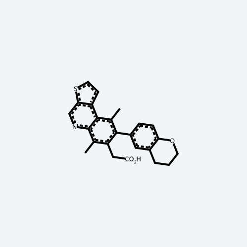 Cc1c(CC(=O)O)c(-c2ccc3c(c2)CCCO3)c(C)c2c1ncc1sccc12